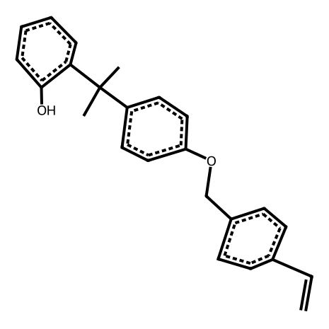 C=Cc1ccc(COc2ccc(C(C)(C)c3ccccc3O)cc2)cc1